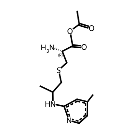 CC(=O)OC(=O)[C@@H](N)CSCC(C)Nc1cc(C)ccn1